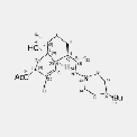 CC(=O)O[C@@H]1[C][C@@]2(O)[C@H](C)CC[C@@H]([C@H](C)CN3CCC(C(C)(C)C)CC3)[C@H]2C=C1C